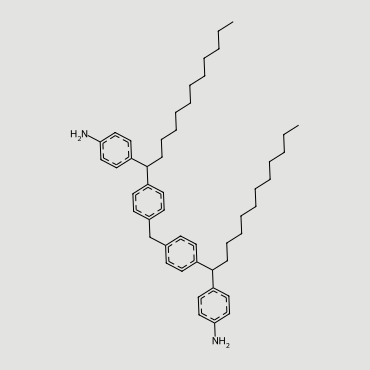 CCCCCCCCCCCC(c1ccc(N)cc1)c1ccc(Cc2ccc(C(CCCCCCCCCCC)c3ccc(N)cc3)cc2)cc1